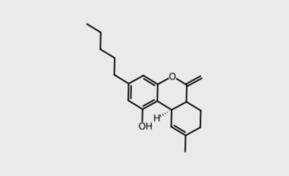 C=C1Oc2cc(CCCCC)cc(O)c2[C@@H]2C=C(C)CCC12